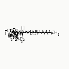 CCCCCCCCCCCCCCCCCCNC(=O)Sc1cc(C(C)(C)C)c(O)c(C(C)(C)C)c1